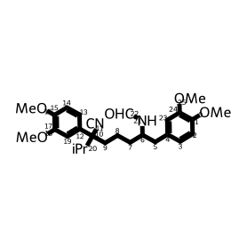 COc1ccc(CC(CCCC(C#N)(c2ccc(OC)c(OC)c2)C(C)C)NC=O)cc1OC